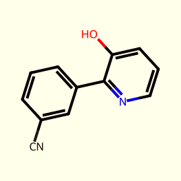 N#Cc1cccc(-c2ncccc2O)c1